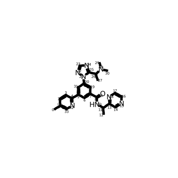 Cc1ccc(-c2cc(C(=O)NC(C)c3cnccn3)cc(-n3ncnc3C(C)N(C)C)c2)nc1